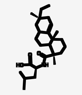 CC[C@@]1(C)CC=C2C(CCC3[C@](C)(C(=O)N[C@@H](CC(C)C)C(=O)O)CCC[C@@]23C)C1